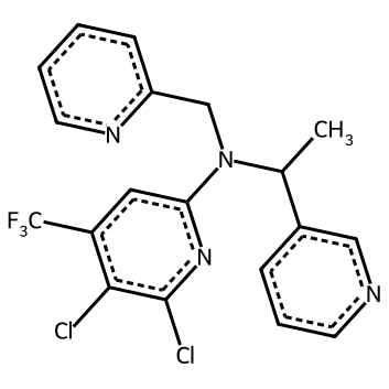 CC(c1cccnc1)N(Cc1ccccn1)c1cc(C(F)(F)F)c(Cl)c(Cl)n1